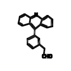 O=CCc1cccc(-c2c3ccccc3nc3ccccc23)c1